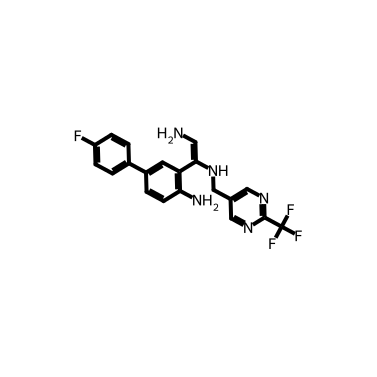 N/C=C(/NCc1cnc(C(F)(F)F)nc1)c1cc(-c2ccc(F)cc2)ccc1N